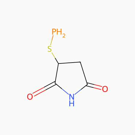 O=C1CC(SP)C(=O)N1